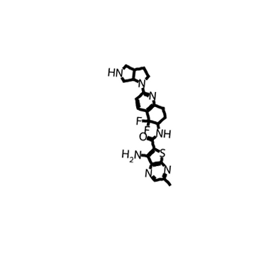 Cc1cnc2c(N)c(C(=O)NC3CCc4nc(N5CCC6CNCC65)ccc4C3(F)F)sc2n1